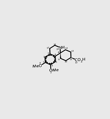 COc1cc2c(cc1OC)[C@]1(CC[C@H](C(=O)O)CC1)NCC2